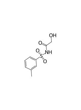 Cc1cccc(S(=O)(=O)NC(=O)CO)c1